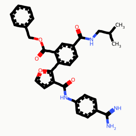 CC(C)CNC(=O)c1ccc(-c2occc2C(=O)Nc2ccc(C(=N)N)cc2)c(C(=O)OCc2ccccc2)c1